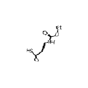 CCOC(=O)NC=CC(=O)S